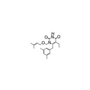 CCc1c(Cc2cc(C)cc(C)c2)n(COCC=C(C)C)c(=O)[nH]c1=O